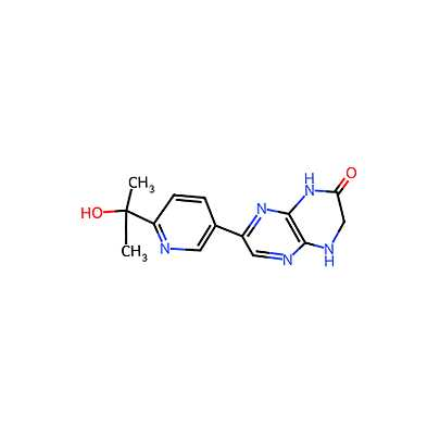 CC(C)(O)c1ccc(-c2cnc3c(n2)NC(=O)CN3)cn1